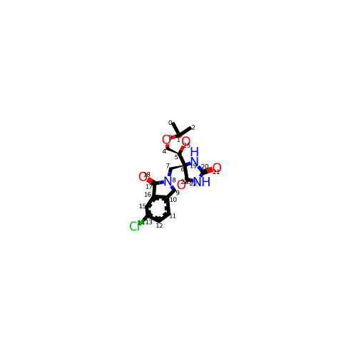 CC1(C)OC[C@H]([C@]2(CN3Cc4ccc(Cl)cc4C3=O)NC(=O)NC2=O)O1